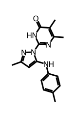 Cc1ccc(Nc2cc(C)nn2-c2nc(C)c(C)c(=O)[nH]2)cc1